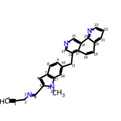 C#CC/N=C/c1cc2ccc(Cc3cncc4c3ccc3cccnc34)cc2n1C